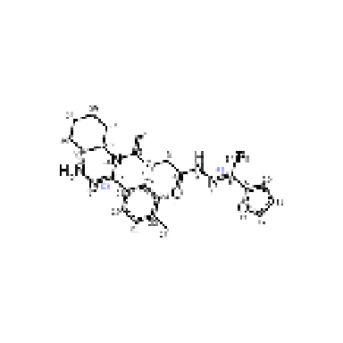 C=C(SCC(=O)N/N=C(/c1ccco1)C(C)C)N(/C(=N\N)c1ccc(C)cc1)C1CCCCC1